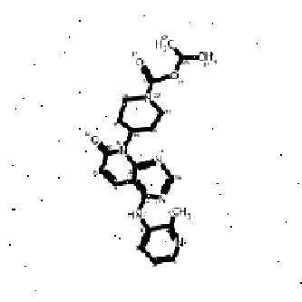 Cc1ncccc1Nc1ncnc2c1ccc(=O)n2C1CCN(C(=O)OC(C)C)CC1